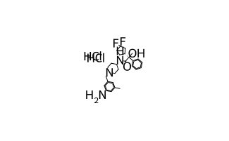 Cc1cc(N)cc(CN2CCC(NC(=O)C(O)(c3ccccc3)[C@@H]3CCC(F)(F)C3)CC2)c1.Cl.Cl